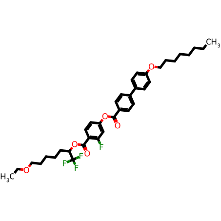 CCCCCCCCOc1ccc(-c2ccc(C(=O)Oc3ccc(C(=O)OC(CCCCCOCC)C(F)(F)F)c(F)c3)cc2)cc1